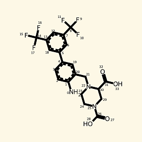 Nc1ccc(-c2cc(C(F)(F)F)cc(C(F)(F)F)c2)cc1CN1CCN(C(=O)O)CC1C(=O)O